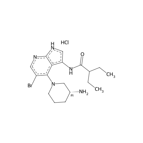 CCC(CC)C(=O)Nc1c[nH]c2ncc(Br)c(N3CCC[C@@H](N)C3)c12.Cl